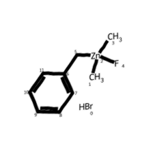 Br.[CH3][Zn]([CH3])([F])[CH2]c1ccccc1